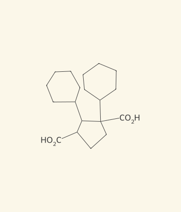 O=C(O)C1CCC(C(=O)O)(C2CCCCC2)C1C1CCCCC1